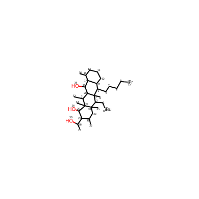 CCC(C)CC1C2(C)C(CCCCC(C)C)C3CCCC(C)C3C(O)C2C(C)C2(C)C(O)C(C(C)O)C(C)CC12C